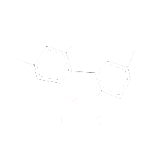 Cc1ccc(S(=O)(=O)O)c(-c2ccc(F)cc2F)c1